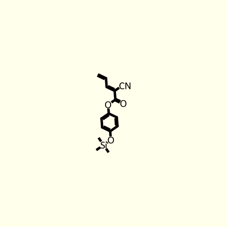 C=CC=C(C#N)C(=O)Oc1ccc(O[Si](C)(C)C)cc1